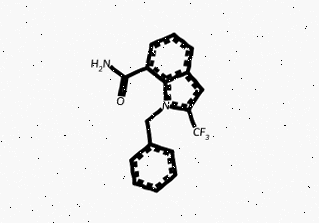 NC(=O)c1cccc2cc(C(F)(F)F)n(Cc3ccccc3)c12